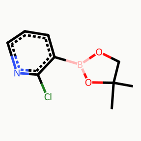 CC1(C)COB(c2cccnc2Cl)O1